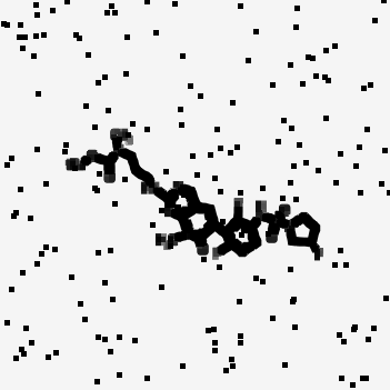 CN(CCCNc1ncc2cc(-c3c(F)ccc(NS(=O)(=O)N4CC[C@@H](F)C4)c3F)c(=O)n(C)c2n1)C(=O)OC(C)(C)C